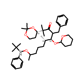 CC(CCC[C@H](C)[C@H](OC1CCCCO1)C(Cc1ccccc1)C(=O)C(C)(C)[C@@H]1CCOC(C)(C)O1)O[SiH](c1ccccc1)C(C)(C)C